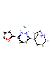 Cl.c1coc(-c2ccc(C34CCCN(CC3)C4)nn2)c1